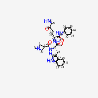 CN1CC(C(=O)N[C@@H](Cc2c[nH]c3ccccc23)C(=O)N[C@@H](CCC(=O)C=N)C(=O)Nc2ccccc2)C1